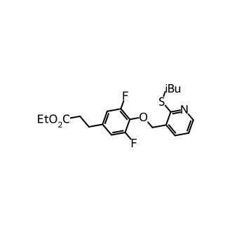 CCOC(=O)CCc1cc(F)c(OCc2cccnc2SC(C)CC)c(F)c1